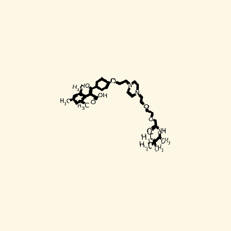 Cc1cc(C)c(/C(C(=O)O)=C(\O)C2CCC(OCCN3CCN(CCOCCOCC(=O)NC(C)C(C)(C)C)CC3)CC2)c(C)c1